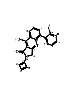 Nc1c2c(nc3c(-c4nccnc4F)cccc13)CN(C1=CC=C1)C2=O